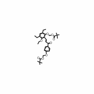 CCOc1c(CC)cc(CC)c(OCOC(=O)C(C)(C)C)c1C=CC(=O)c1ccc(OCOC(=O)C(C)(C)C)cc1